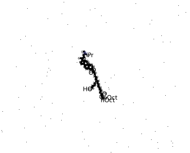 C/C=C(\CCC(C)C1CCC2C3CC=C4CC(OC(=O)CCCCCN(CCCCO)CCCCCCC(=O)OC(CCCCCCCC)CCCCCCCC)CCC4(C)C3CCC12C)C(C)C